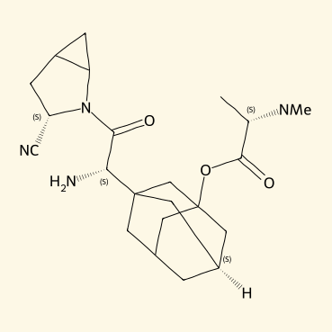 CN[C@@H](C)C(=O)OC12CC3C[C@H](C1)CC([C@H](N)C(=O)N1C4CC4C[C@H]1C#N)(C3)C2